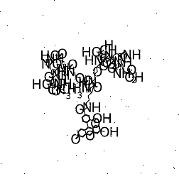 CC(=O)N[C@@H](C(=O)N[C@H](Cc1c[nH]cn1)C(=O)N[C@H](CCC(=O)O)C(=O)NCCOCC(=O)N[C@H](CCCCNC(=O)c1ccc(-c2c3ccc(=O)cc-3oc3cc(O)ccc23)c(C(=O)O)c1)C(=O)NCCOCC(=O)N[C@@H](C(=O)N[C@H](Cc1c[nH]cn1)C(=O)N[C@H](CCC(=O)O)C(N)=O)[C@H](C)O)[C@H](C)O